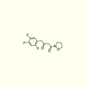 O=C(CC(=O)N1CCCO1)Cc1cc(F)c(F)cc1F